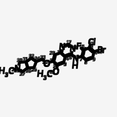 COc1cc2c(Nc3ccc(Br)c(Cl)c3F)ncnc2cc1OCC1CC2CN(C)CC2C1